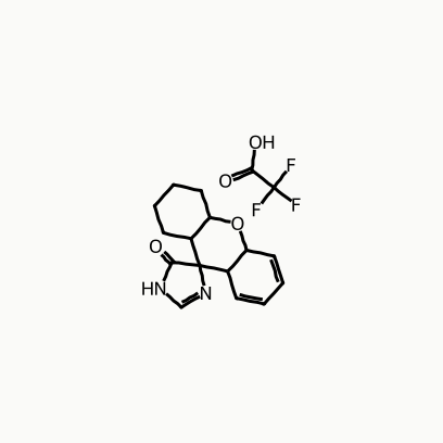 O=C(O)C(F)(F)F.O=C1NC=NC12C1C=CC=CC1OC1CCCCC12